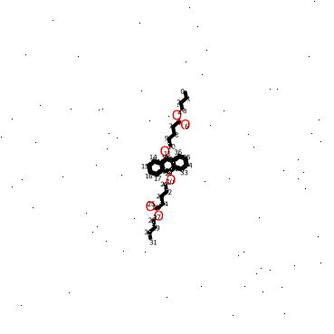 CCCCOC(=O)CCCCOc1c2ccccc2c(OCCCCC(=O)OCCCC)c2ccccc12